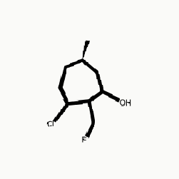 C[C@@H]1CCC(Cl)C(CF)C(O)C1